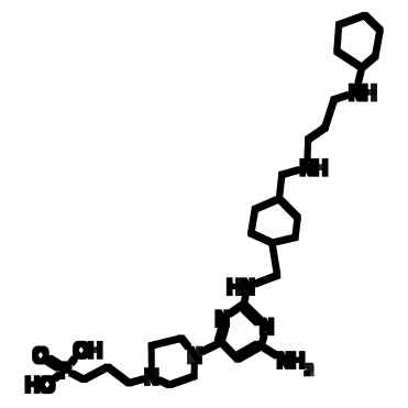 Nc1cc(N2CCN(CCCP(=O)(O)O)CC2)nc(NCC2CCC(CNCCCNC3CCCCC3)CC2)n1